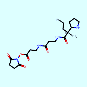 CC(C)CC[C@@](C)(C(=O)NCCC(=O)NCCC(=O)ON1C(=O)CCC1=O)C1CCCN1